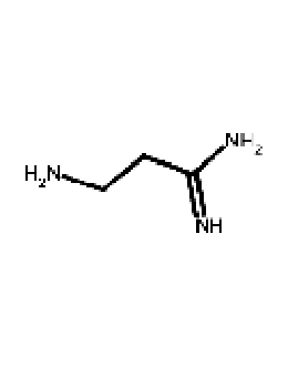 N=C(N)CCN